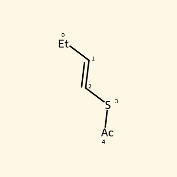 CCC=CSC(C)=O